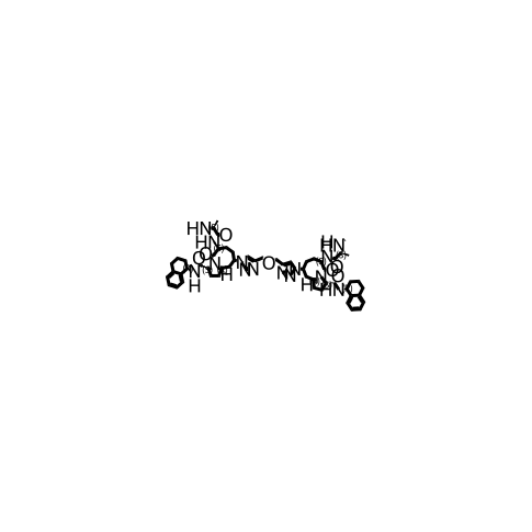 CN[C@@H](C)C(=O)N[C@H]1CCC(n2cc(COCc3cn(C4CC[C@H](NC(=O)[C@H](C)NC)C(=O)N5[C@H](CC[C@H]5C(=O)N[C@@H]5CCCc6ccccc65)C4)nn3)nn2)C[C@H]2CC[C@@H](C(=O)N[C@@H]3CCCc4ccccc43)N2C1=O